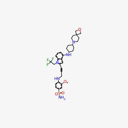 COc1cc(S(N)(=O)=O)ccc1NCC#Cc1cc2c(N[C@H]3CC[C@H](N4CCC5(CC4)COC5)CC3)cccc2n1CC(F)(F)F